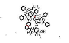 C=CCOC1O[C@H](CO[C@@H]2O[C@H](CO[C@@H]3O[C@H](CO)[C@@H](C)[C@H](C)[C@H]3OC(=O)c3ccccc3)[C@@H](OC(=O)c3ccccc3)[C@H](OC(=O)c3ccccc3)[C@H]2OC(=O)c2ccccc2)[C@@H](OC(=O)c2ccccc2)[C@H](OC(=O)c2ccccc2)[C@H]1OC(=O)c1ccccc1